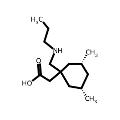 CCCNCC1(CC(=O)O)C[C@H](C)C[C@H](C)C1